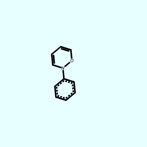 C1=CON(c2ccccc2)C=C1